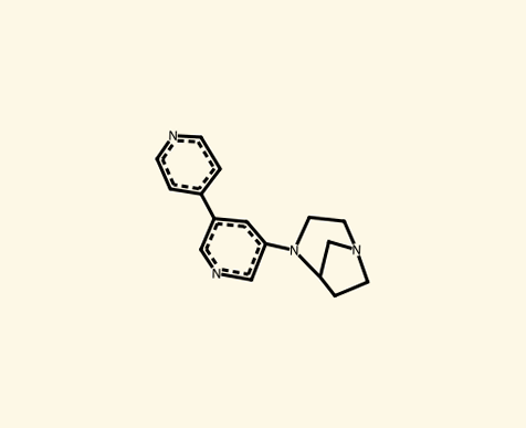 c1cc(-c2cncc(N3CCN4CCC3C4)c2)ccn1